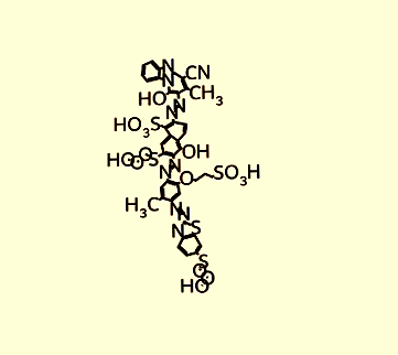 Cc1cc(N=Nc2c(SOOO)cc3c(S(=O)(=O)O)c(N=Nc4c(C)c(C#N)c5nc6ccccc6n5c4O)ccc3c2O)c(OCCCS(=O)(=O)O)cc1N=Nc1nc2ccc(SOOO)cc2s1